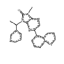 CC(c1ccccc1)n1c(=O)n(C)c2ncc(-c3cccc4ncccc34)nc21